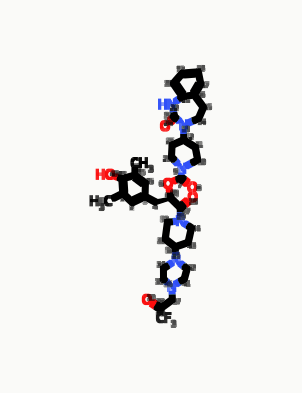 Cc1cc(C[C@@H](OC(=O)N2CCC(N3CCc4ccccc4NC3=O)CC2)C(=O)N2CCC(N3CCN(CC(=O)C(F)(F)F)CC3)CC2)cc(C)c1O